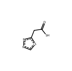 O=C(S)Cc1nncs1